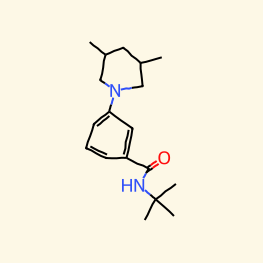 CC1CC(C)CN(c2cccc(C(=O)NC(C)(C)C)c2)C1